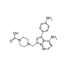 Nc1ccc(-c2cc(CN3CCN(C(=O)O)CC3)n3ncnc(N)c23)cc1